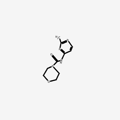 Cc1n[c]cc(NC(=O)N2CCOCC2)n1